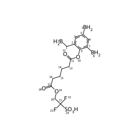 BCc1cc(B)cc(B)c1OC(=O)CCCCC(=O)OCC(F)(F)S(=O)(=O)O